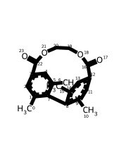 Cc1cc2cc(C)c1-c1c(C)cc(cc1C)C(=O)OCCOC2=O